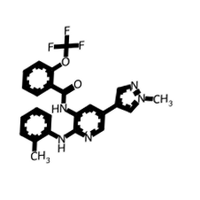 Cc1ccccc1Nc1ncc(-c2cnn(C)c2)cc1NC(=O)c1ccccc1OC(F)(F)F